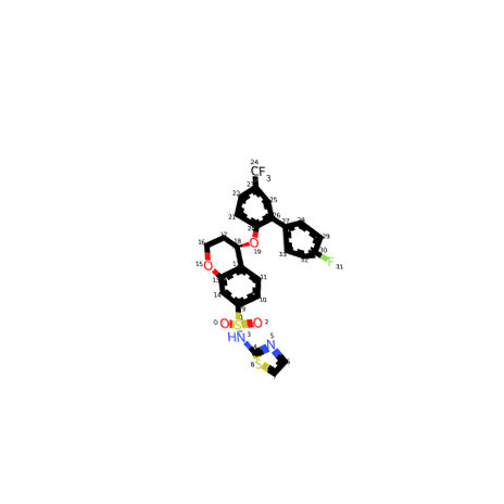 O=S(=O)(Nc1nccs1)c1ccc2c(c1)OCC[C@H]2Oc1ccc(C(F)(F)F)cc1-c1ccc(F)cc1